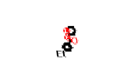 CCc1ccc(C(=O)OC2CCCCO2)cc1